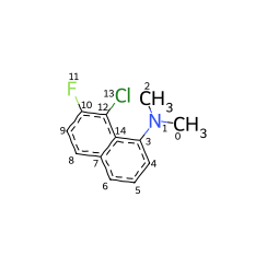 CN(C)c1cccc2ccc(F)c(Cl)c12